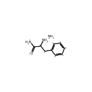 N.NC(=O)C(N)Cc1ccccc1